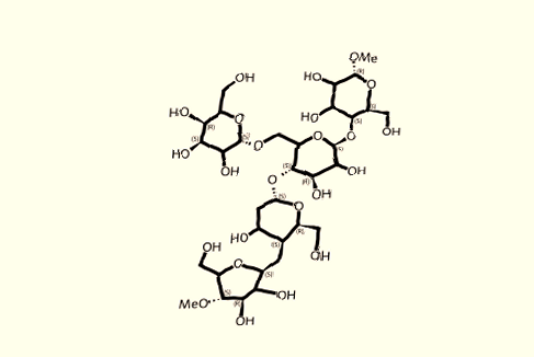 CO[C@@H]1O[C@@H](CO)[C@@H](O[C@@H]2OC(CO[C@H]3OC(CO)[C@H](O)[C@H](O)C3O)[C@@H](O[C@H]3CC(O)[C@H](C[C@@H]4OC(CO)[C@@H](OC)[C@H](O)C4O)[C@H](CO)O3)[C@H](O)C2O)C(O)C1O